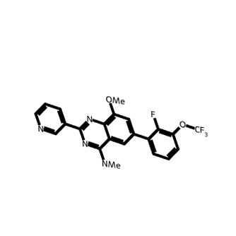 CNc1nc(-c2cccnc2)nc2c(OC)cc(-c3cccc(OC(F)(F)F)c3F)cc12